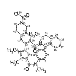 Cc1c(C(=O)N(C)c2ccccc2)cc(-c2cc3c(cc2C(=O)N2Cc4ccccc4C[C@H]2C)CN(C(=O)Cl)CC3)n1C